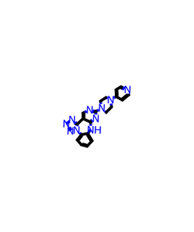 c1ccc2c(c1)Nc1nc(N3CCN(c4ccncc4)CC3)ncc1-c1nnnn1-2